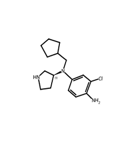 Nc1ccc(N(CC2CCCC2)[C@H]2CCNC2)cc1Cl